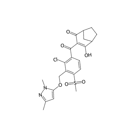 Cc1cc(OCc2c(S(C)(=O)=O)ccc(C(=O)C3=C(O)C4CCC(C4)C3=O)c2Cl)n(C)n1